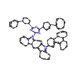 c1ccc(-c2ccc(-c3nc(-c4cccc(-c5ccccc5)c4)nc(-n4c5ccccc5c5cc6c7ccccc7n(-c7ccc8c9ccccc9c9ccccc9c8c7)c6cc54)n3)cc2)cc1